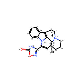 CC[C@@]12C=C(c3noc(=O)[nH]3)n3c4c(c5ccccc53)CCN(CCC1)[C@H]42